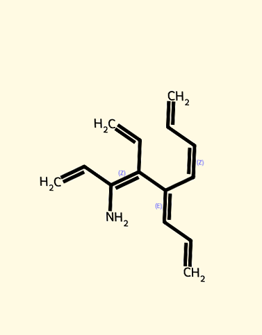 C=C\C=C/C(=C\C=C)C(/C=C)=C(\N)C=C